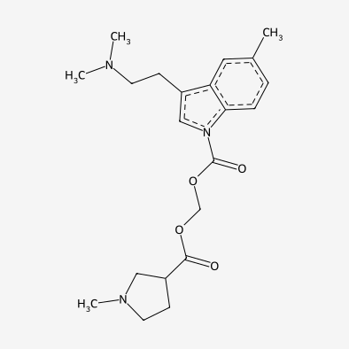 Cc1ccc2c(c1)c(CCN(C)C)cn2C(=O)OCOC(=O)C1CCN(C)C1